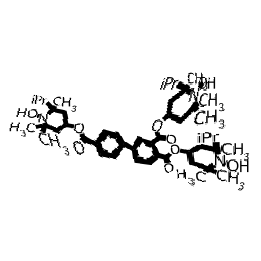 CC(C)C1(C)CC(OC(=O)c2ccc(-c3ccc(C(=O)OC4CC(C)(C)N(O)C(C)(C(C)C)C4)c(C(=O)OC4CC(C)(C)N(O)C(C)(C(C)C)C4)c3)cc2)CC(C)(C)N1O